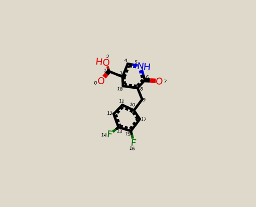 O=C(O)c1c[nH]c(=O)c(Cc2ccc(F)c(F)c2)c1